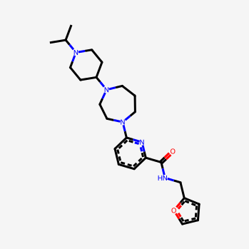 CC(C)N1CCC(N2CCCN(c3cccc(C(=O)NCc4ccco4)n3)CC2)CC1